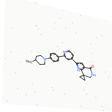 O=CC1CCN(c2ccc(-c3cc(-c4cc5c([nH]4)C4(CC4)CNC5=O)ccn3)cc2)CC1